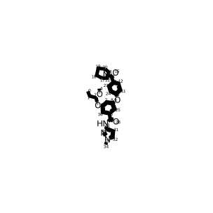 CCC(OC)Oc1cc(Oc2ccc(C(=O)N3C4CCC3CC4)cc2)cc(C(=O)Nc2ccn(C)n2)c1